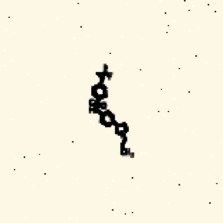 CCCN1CCC(c2ccc(NS(=O)(=O)c3ccc(C4CC4(F)F)cc3)cc2)C1